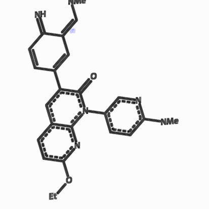 CCOc1ccc2cc(C3=C/C(=C/NC)C(=N)C=C3)c(=O)n(-c3ccc(NC)nc3)c2n1